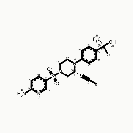 CC#C[C@@H]1CN(S(=O)(=O)c2ccc(N)nc2)CCN1c1ccc([C@](C)(O)C(F)(F)F)cc1